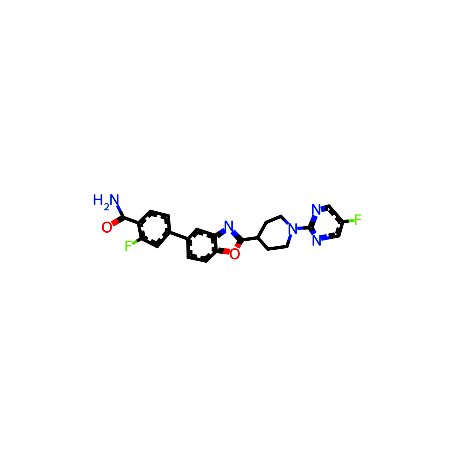 NC(=O)c1ccc(-c2ccc3oc(C4CCN(c5ncc(F)cn5)CC4)nc3c2)cc1F